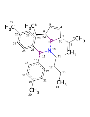 C=C(C)[C@H]1C=C[C@H](CC)P1N(CCCC)P(c1ccc(C)cc1)c1ccc(C)cc1